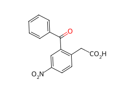 O=C(O)Cc1ccc([N+](=O)[O-])cc1C(=O)c1ccccc1